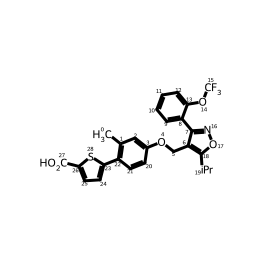 Cc1cc(OCc2c(-c3ccccc3OC(F)(F)F)noc2C(C)C)ccc1-c1ccc(C(=O)O)s1